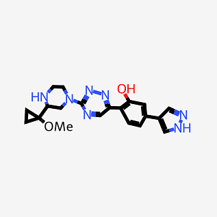 COC1(C2CN(c3ncc(-c4ccc(-c5cn[nH]c5)cc4O)nn3)CCN2)CC1